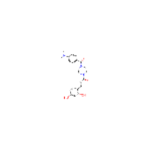 CN(C)c1ccc(C(=O)N2CCN(C(=O)/C=C/c3ccc(O)cc3O)CC2)cc1